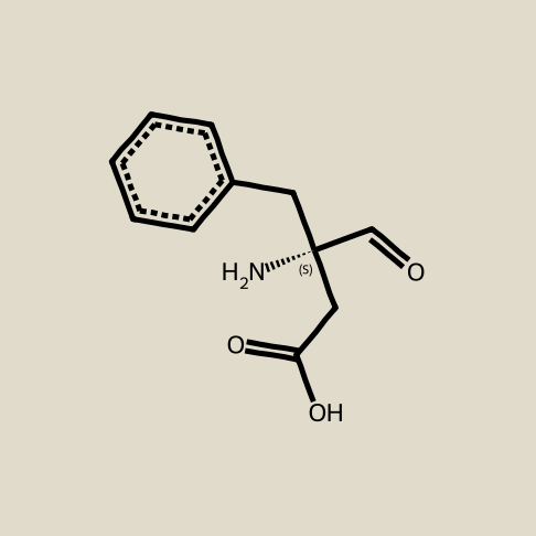 N[C@](C=O)(CC(=O)O)Cc1ccccc1